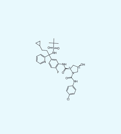 CC(C)(C)S(=O)(=O)NC(CCC1CC1)(c1ccc(F)c(NC(=O)[C@H]2C[C@@H](O)CN2C(=O)Nc2ccc(Cl)cc2)c1)c1ccccn1